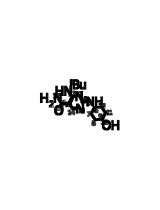 CCC(C)Nc1nc(N[C@H]2CC[C@H](O)CC2)ncc1C(N)=O